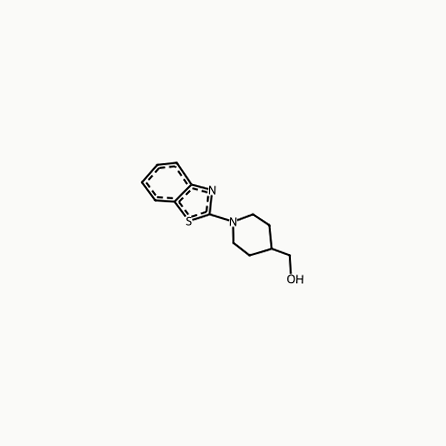 OCC1CCN(c2nc3ccccc3s2)CC1